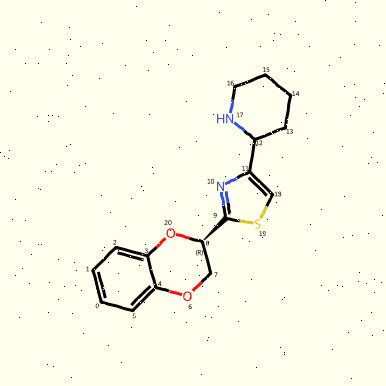 c1ccc2c(c1)OC[C@H](c1nc(C3CCCCN3)cs1)O2